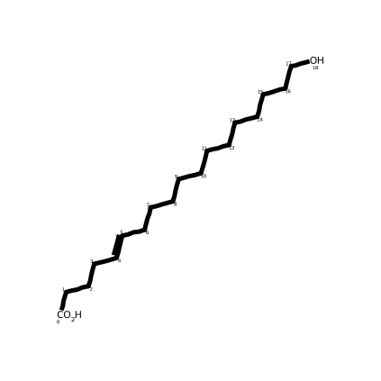 O=C(O)CCCC=CCCCCCCCCCCCCO